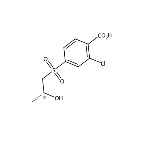 C[C@@H](O)CS(=O)(=O)c1ccc(C(=O)O)c(Cl)c1